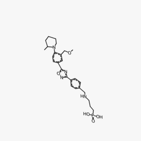 COCc1cc(-c2nc(-c3ccc(CNCCCP(=O)(O)O)cc3)no2)ccc1N1CCCCC1C